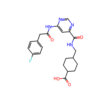 O=C(Cc1ccc(F)cc1)Nc1cc(C(=O)NCC2CCC(C(=O)O)CC2)ncn1